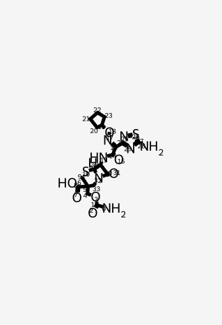 NC(=O)OCC1(C(=O)O)CS[C@@H]2C(NC(=O)C(=NOC3CCCC3)c3nsc(N)n3)C(=O)N2C1